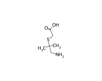 CC(C)(CN)SCC(=O)O